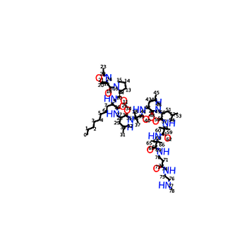 CCCCCCCCC(NC(=O)[C@@H]1CCCN1C(=O)c1coc(C)n1)C(=O)NC(CC(C)C)C(=O)NC(C)(C)C(=O)NC(CC(C)C)C(=O)NC(CC(C)C)C(=O)NC(C)(C)C(=O)NC(C)(C)C(=O)NCCC(=O)NCCNC